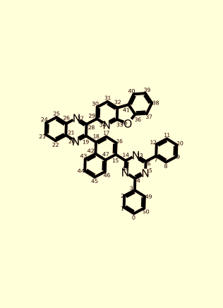 c1ccc(-c2nc(-c3ccccc3)nc(-c3ccc(-c4nc5ccccc5nc4-c4ccc5c(n4)oc4ccccc45)c4ccccc34)n2)cc1